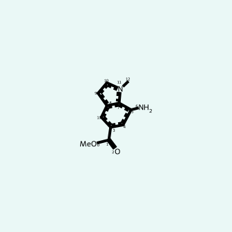 COC(=O)c1cc(N)c2c(ccn2C)c1